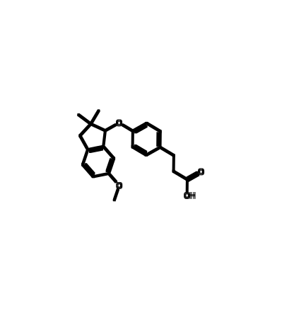 COc1ccc2c(c1)C(Oc1ccc(CCC(=O)O)cc1)C(C)(C)C2